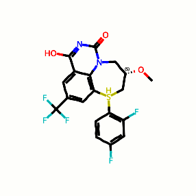 CO[C@H]1Cn2c(=O)nc(O)c3cc(C(F)(F)F)cc(c32)[SH](c2ccc(F)cc2F)C1